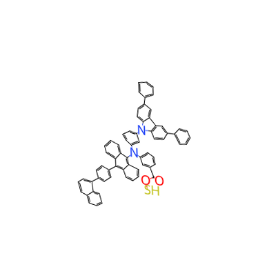 O=C(OS)c1cccc(N(c2cccc(-n3c4ccc(-c5ccccc5)cc4c4cc(-c5ccccc5)ccc43)c2)c2c3ccccc3c(-c3ccc(-c4cccc5ccccc45)cc3)c3ccccc23)c1